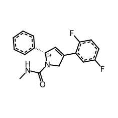 CNC(=O)N1CC(c2cc(F)ccc2F)=C[C@H]1c1ccccc1